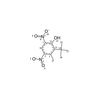 Cc1c([N+](=O)[O-])cc([N+](=O)[O-])c(O)c1C(C)(C)C